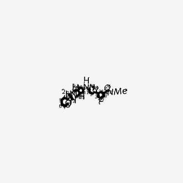 [2H]C([2H])([C@H]1CCCCO1)N1C[C@H]2CC(Nc3ccc(-c4cc(F)cc(C(=O)NC)c4)nn3)C[C@H]2C1